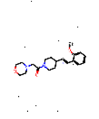 CCOc1ccccc1/C=C/C1CCN(C(=O)CN2CCOCC2)CC1